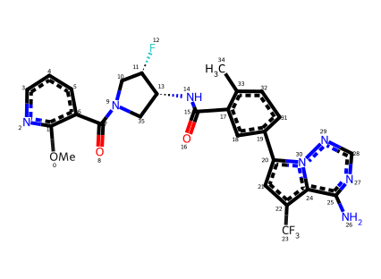 COc1ncccc1C(=O)N1C[C@H](F)[C@H](NC(=O)c2cc(-c3cc(C(F)(F)F)c4c(N)ncnn34)ccc2C)C1